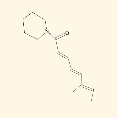 C/C=C(C)/C=C/C=C/C(=O)N1CCCCC1